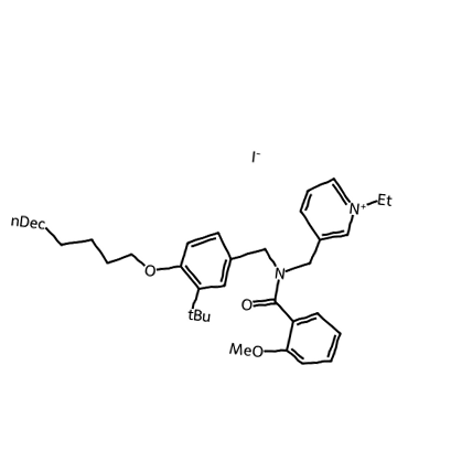 CCCCCCCCCCCCCCOc1ccc(CN(Cc2ccc[n+](CC)c2)C(=O)c2ccccc2OC)cc1C(C)(C)C.[I-]